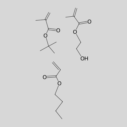 C=C(C)C(=O)OC(C)(C)C.C=C(C)C(=O)OCCO.C=CC(=O)OCCCC